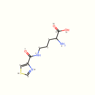 NC(CCCNC(=O)c1cscn1)C(=O)O